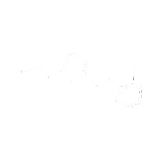 Cc1ccccc1C=Cc1cccc(CCC=O)c1